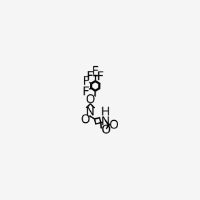 O=C1NC2(CO1)CC(C(=O)N1CC(OCc3ccc(C(F)(F)F)c(F)c3F)C1)C2